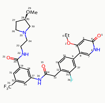 CCOc1cc(=O)[nH]cc1-c1ccc(CC(=O)Nc2cc(C(=O)NCCN3CC[C@@H](OC)C3)cc(C(F)(F)F)c2)c(F)c1